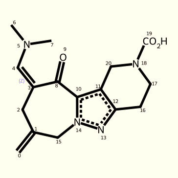 C=C1C/C(=C/N(C)C)C(=O)c2c3c(nn2C1)CCN(C(=O)O)C3